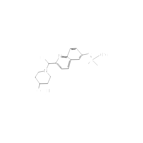 CCC(c1ccc2cc(O[Si](C)(C)C(C)(C)C)ccc2n1)N1CCC(C(=O)O)CC1